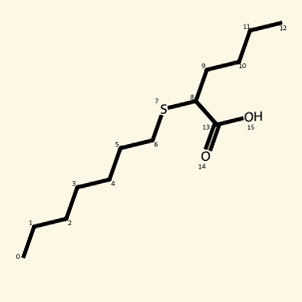 CCCCCCCSC(CCCC)C(=O)O